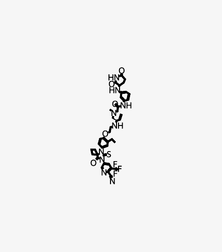 C=C[C@H](CN(C)CC(=O)Nc1cccc(NC2CCC(=O)NC2=O)c1)NCCOc1ccc(N2C(=S)N(c3cnc(C#N)c(C(F)(F)F)c3)C(=O)C23CCC3)cc1CC